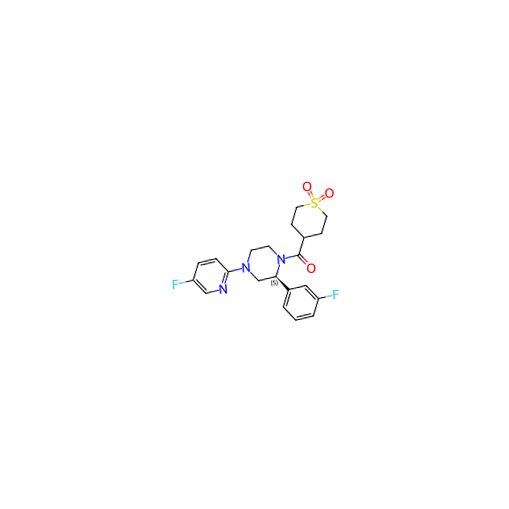 O=C(C1CCS(=O)(=O)CC1)N1CCN(c2ccc(F)cn2)C[C@@H]1c1cccc(F)c1